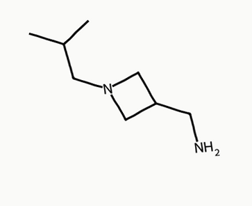 CC(C)CN1CC(CN)C1